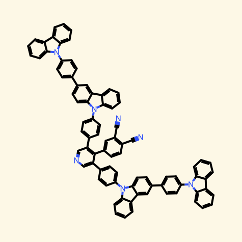 N#Cc1ccc(-c2c(-c3ccc(-n4c5ccccc5c5cc(-c6ccc(-n7c8ccccc8c8ccccc87)cc6)ccc54)cc3)cncc2-c2ccc(-n3c4ccccc4c4cc(-c5ccc(-n6c7ccccc7c7ccccc76)cc5)ccc43)cc2)cc1C#N